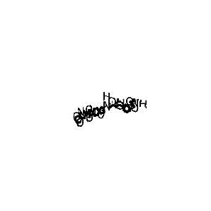 CNS(=O)(=O)c1cccc(OC[C@@H](O)CN[C@H]2COC3(CCN(S(=O)(=O)c4cnc5c(c4)OCCO5)CC3)C2)c1